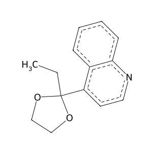 CCC1(c2ccnc3ccccc23)OCCO1